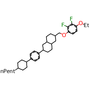 CCCCCC1CCC(c2ccc(C3CCC4CC(COc5ccc(OCC)c(F)c5F)CCC4C3)cc2)CC1